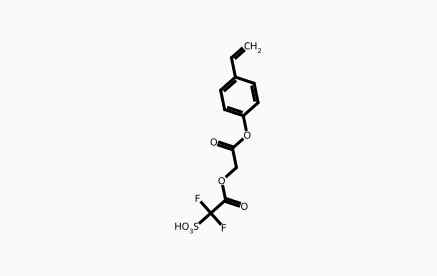 C=Cc1ccc(OC(=O)COC(=O)C(F)(F)S(=O)(=O)O)cc1